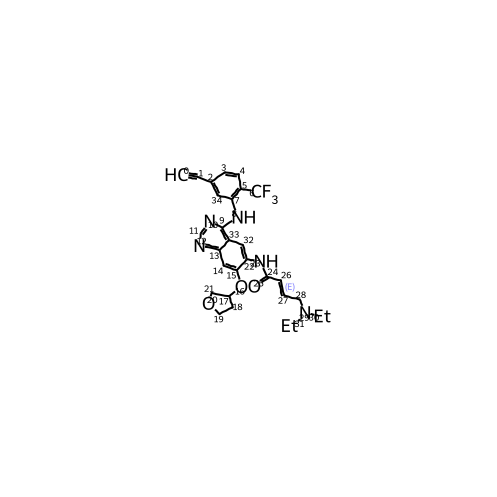 C#Cc1ccc(C(F)(F)F)c(Nc2ncnc3cc(OC4CCOC4)c(NC(=O)/C=C/CN(CC)CC)cc23)c1